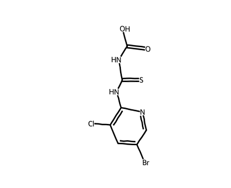 O=C(O)NC(=S)Nc1ncc(Br)cc1Cl